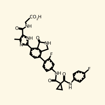 Cc1nc(-c2ccc(-c3ccc(NC(=O)C4(C(=O)Nc5ccc(F)cc5)CC4)cc3F)c3c2C(=O)NC3)[nH]c1C(=O)NCC(=O)O